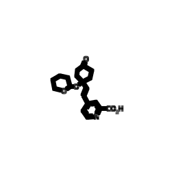 O=C1CCC(/C=C/c2ccnc(C(=O)O)c2)(OC2CCCCO2)CC1